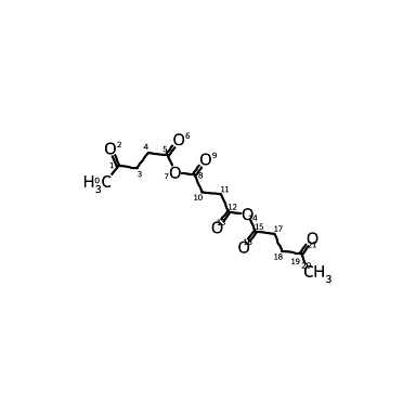 CC(=O)CCC(=O)OC(=O)CCC(=O)OC(=O)CCC(C)=O